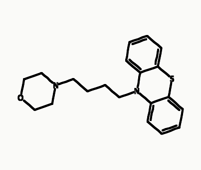 c1ccc2c(c1)Sc1ccccc1N2CCCCN1CCOCC1